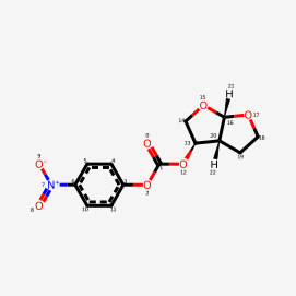 O=C(Oc1ccc([N+](=O)[O-])cc1)O[C@H]1CO[C@@H]2OCC[C@@H]21